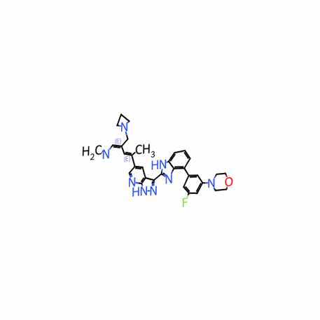 C=N/C=C(\C=C(/C)c1cnc2[nH]nc(-c3nc4c(-c5cc(F)cc(N6CCOCC6)c5)cccc4[nH]3)c2c1)CN1CCC1